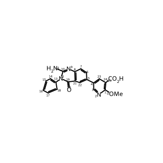 COc1ncc(-c2ccc3nc(N)n(-c4ccccc4)c(=O)c3c2)cc1C(=O)O